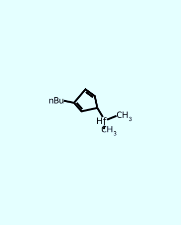 CCCCC1=C[CH]([Hf]([CH3])[CH3])C=C1